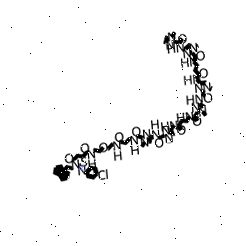 Cn1cc(NC(=O)c2nccn2C)nc1C(=O)NCCC(=O)Nc1cn(C)c(C(=O)Nc2cn(C)c(C(=O)NCCC(=O)Nc3cn(C)c(C(=O)Nc4cn(C)c(C(=O)NCCC(=O)NCCOCCNC(=O)C5CC(=O)N(CCC67CC8CC6CC8C7)/C(=N/c6ccc(Cl)cc6)S5)n4)n3)n2)n1